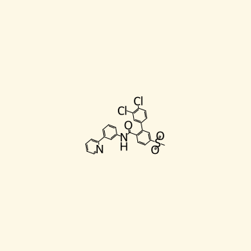 CS(=O)(=O)c1ccc(C(=O)Nc2cccc(-c3ccccn3)c2)c(-c2ccc(Cl)c(Cl)c2)c1